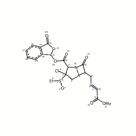 CC[S+]([O-])C1(Cl)CC2C(C/C=C/C(=O)OC)C(=O)N2C1C(=O)OC1OC(=O)c2ccccc21